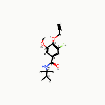 C#CCOc1c(F)cc(C(=O)NC(C)(C)C(C)C)cc1OC